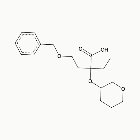 CCC(CCOCc1ccccc1)(OC1CCCOC1)C(=O)O